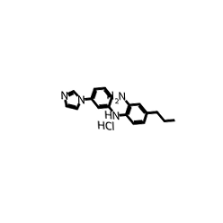 CCCc1ccc(Nc2cccc(-n3ccnc3)c2)c(N)c1.Cl